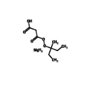 CCC(C)(CC)OOC(=O)CC(=O)O.[MgH2]